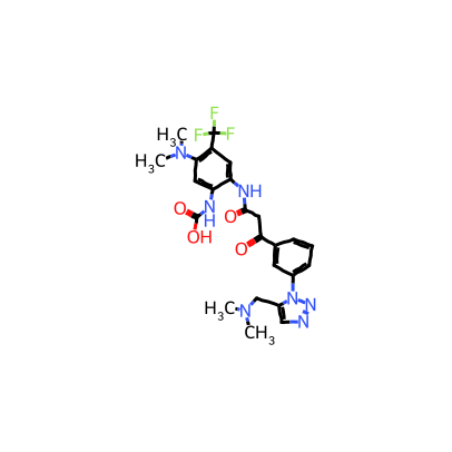 CN(C)Cc1cnnn1-c1cccc(C(=O)CC(=O)Nc2cc(C(F)(F)F)c(N(C)C)cc2NC(=O)O)c1